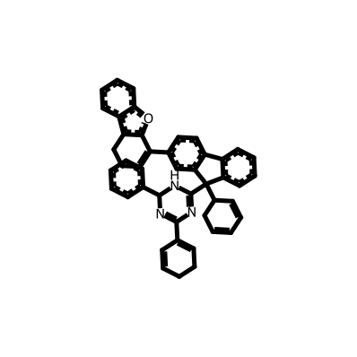 C1=CCC(C2(C3=NC(C4=CCCC=C4)=NC(c4ccccc4)N3)c3ccccc3-c3ccc(C4=CCCc5c4oc4ccccc54)cc32)C=C1